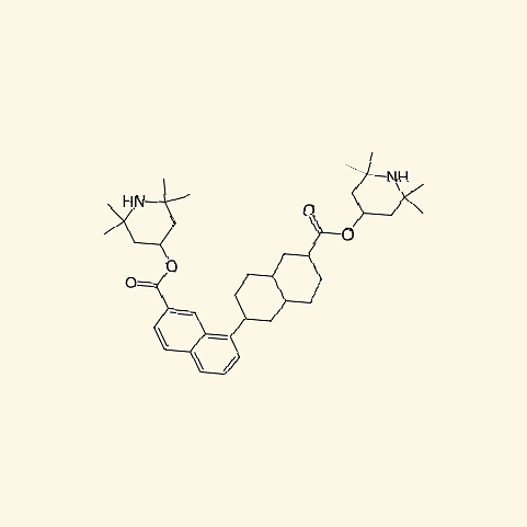 CC1(C)CC(OC(=O)c2ccc3cccc(C4CCC5CC(C(=O)OC6CC(C)(C)NC(C)(C)C6)CCC5C4)c3c2)CC(C)(C)N1